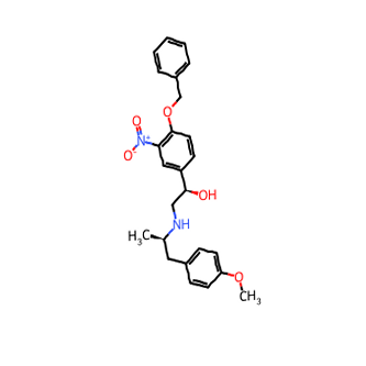 COc1ccc(C[C@@H](C)NC[C@H](O)c2ccc(OCc3ccccc3)c([N+](=O)[O-])c2)cc1